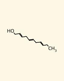 CC/C=C/C/C=C/C/C=C/CO